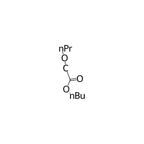 CCCCOC(=O)COCCC